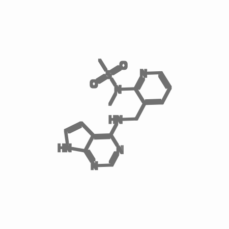 CN(c1ncccc1CNc1ncnc2[nH]ccc12)S(C)(=O)=O